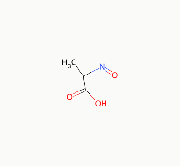 CC(N=O)C(=O)O